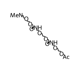 CNCCOCCOCC(=O)NCCOCCCOCC(=O)NCCOCCCOCC(C)=O